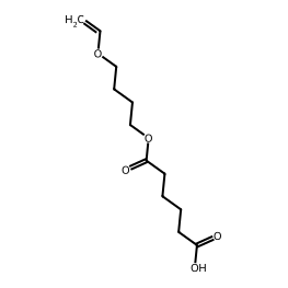 C=COCCCCOC(=O)CCCCC(=O)O